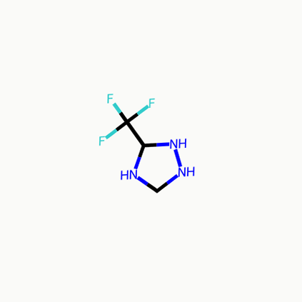 FC(F)(F)C1NCNN1